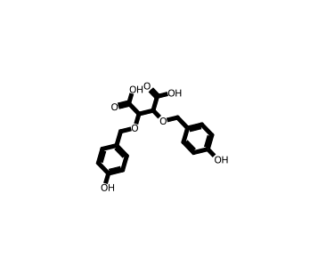 O=C(O)C(OCc1ccc(O)cc1)C(OCc1ccc(O)cc1)C(=O)O